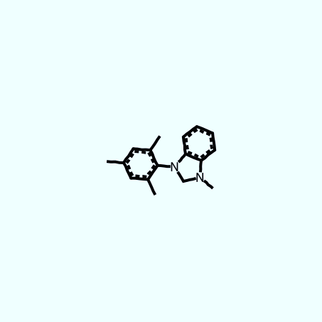 Cc1cc(C)c(N2CN(C)c3ccccc32)c(C)c1